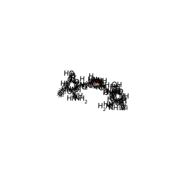 CN1C(=O)[C@H](Cc2ccc(O)c(I)c2)NC(=O)CNC(=O)[C@@H](CCc2ccc3ccccc3c2)NC(=O)[C@@H](CCCNC(=N)N)NC(=O)[C@@H]1CCCNC(=O)CCCC(=O)NC12CNCCNCC(NC(=O)CCCC(=O)NCCC[C@@H]3C(=O)N[C@@H](CCCNC(=N)N)C(=O)N[C@@H](Cc4ccc5ccccc5c4)C(=O)NCC(=O)N[C@](C=O)(Cc4ccc(O)c(I)c4)N3C)(CNCCNC1)CNCCNC2